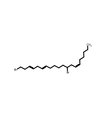 CCCCC/C=C\CC(Br)CCCCC=CCC=CCCBr